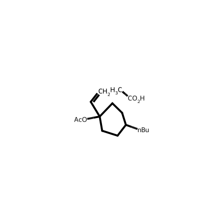 C=CC1(OC(C)=O)CCC(CCCC)CC1.CC(=O)O